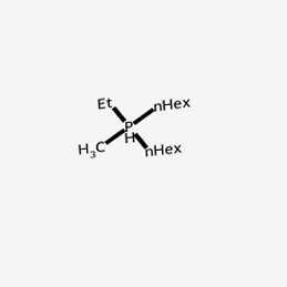 CCCCCC[PH](C)(CC)CCCCCC